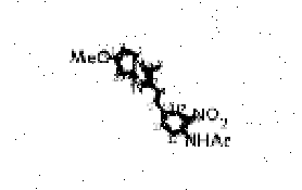 COc1ccn2c(C)c(C=Cc3ccc(NC(C)=O)c([N+](=O)[O-])c3)nc2c1